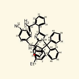 CCc1cccc(C(Nc2ccc(C#N)cc2)c2nc(-c3ccccc3C(N)=O)cn2C(c2ccccc2)(c2ccccc2)c2ccccc2)c1